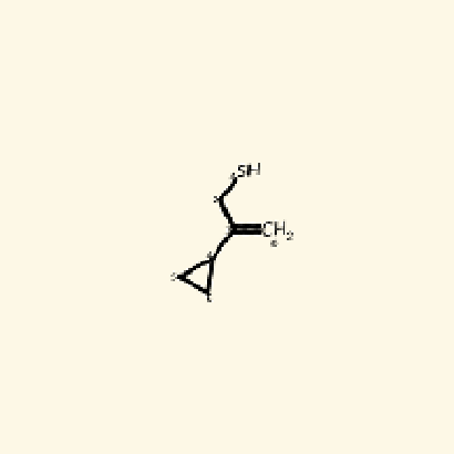 C=C(CS)C1CC1